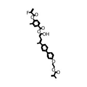 C=C(C)C(=O)OCCOc1ccc(-c2ccc(/C(C)=C/C=C(\O)OC(=O)c3ccc(OC(=O)C(=C)F)c(C)c3)cc2)cc1